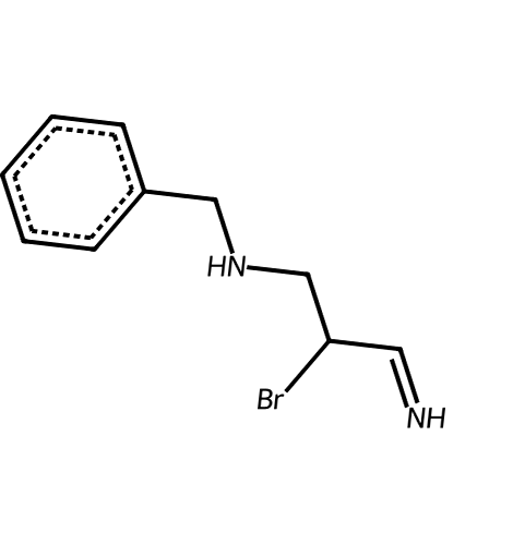 N=CC(Br)CNCc1ccccc1